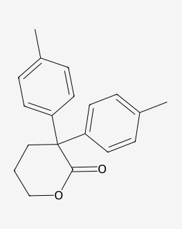 Cc1ccc(C2(c3ccc(C)cc3)CCCOC2=O)cc1